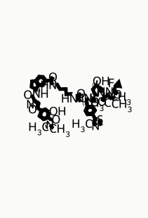 Cc1ncsc1-c1ccc([C@H](CC(=O)NCCCCCNC(=O)c2ccc3c(c2)[C@H](NC(=O)c2cc(-c4ccc(C(=O)N(C)C)c(O)c4)on2)CC3)NC(=O)[C@@H]2C[C@@H](O)CN2C(=O)[C@@H](NC(=O)C2(F)CC2)C(C)(C)C)cc1